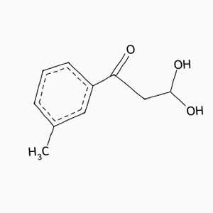 Cc1cccc(C(=O)CC(O)O)c1